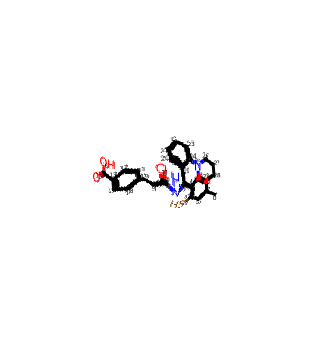 Cc1ccc(C(NC(=O)Cc2ccc(C(=O)O)cc2)c2ccccc2N2CCCCC2)c(S)c1